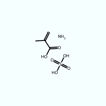 C=C(C)C(=O)O.N.O=S(=O)(O)O